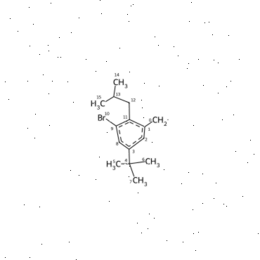 [CH2]c1cc(C(C)(C)C)cc(Br)c1CC(C)C